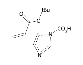 C=CC(=O)OC(C)(C)C.O=C(O)n1ccnc1